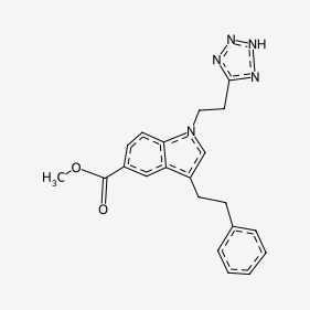 COC(=O)c1ccc2c(c1)c(CCc1ccccc1)cn2CCc1nn[nH]n1